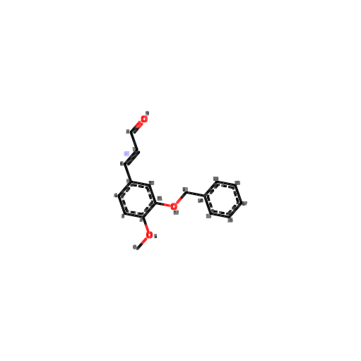 COc1ccc(/C=C/C=O)cc1OCc1ccccc1